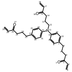 C=CC(=O)CCCc1ccc(N(CCCC(=O)C=C)c2ccc(CCCC(=O)C=C)cc2)cc1